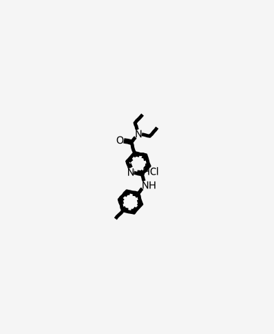 CCN(CC)C(=O)c1ccc(Nc2ccc(C)cc2)nc1.Cl